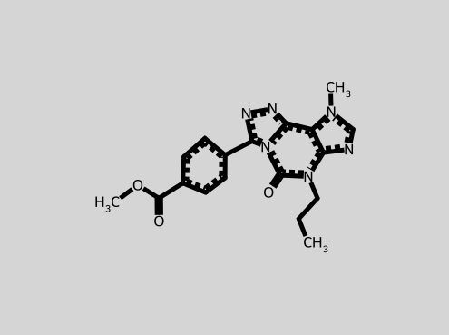 CCCn1c(=O)n2c(-c3ccc(C(=O)OC)cc3)nnc2c2c1ncn2C